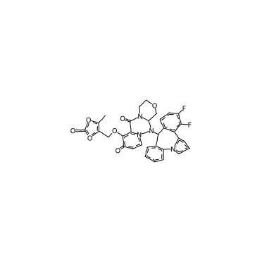 Cc1oc(=O)oc1COc1c2n(ccc1=O)N(C1c3ccccc3-n3cccc3-c3c1ccc(F)c3F)C1COCCN1C2=O